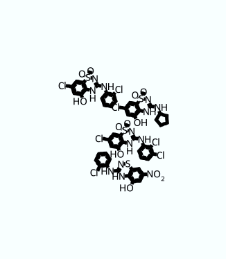 O=S1(=O)N=C(NC2CCCC2)Nc2c(O)cc(Cl)cc21.O=S1(=O)N=C(Nc2cccc(Cl)c2Cl)Nc2c(O)cc(Cl)cc21.O=S1(=O)N=C(Nc2ccccc2Cl)Nc2c(O)cc(Cl)cc21.O=[N+]([O-])c1cc(O)c2c(c1)SN=C(Nc1ccccc1Cl)N2